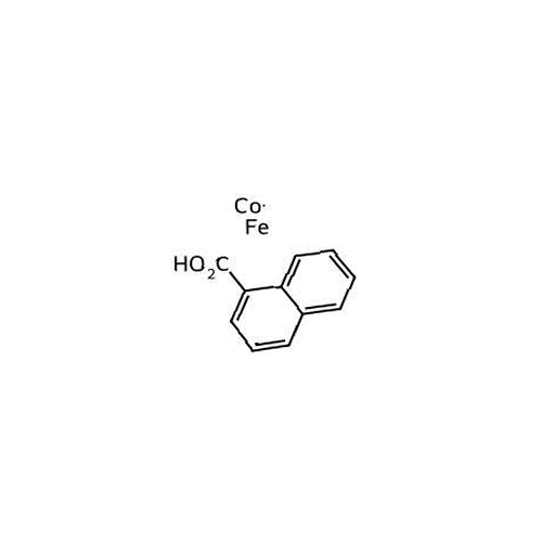 O=C(O)c1cccc2ccccc12.[Co].[Fe]